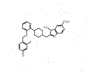 Cn1c(CN2CCC(c3nccnc3OCc3ccc(Cl)cc3F)CC2)nc2cnc(C(=O)O)cc21